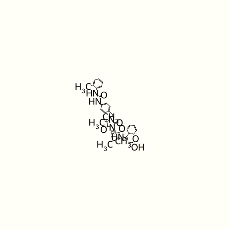 Cc1ccccc1NC(=O)Nc1ccc(CN2C(=O)N([C@@H](CC(C)C)C(=O)N[C@@H](CC(=O)O)c3ccccc3)C(=O)C2(C)C)cc1